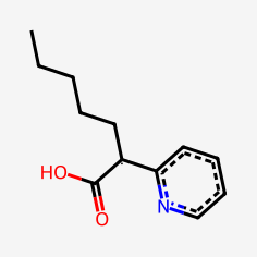 CCCCC[C](C(=O)O)c1ccccn1